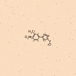 Cc1cc(-c2nnc(CCl)o2)ccc1[N+](=O)[O-]